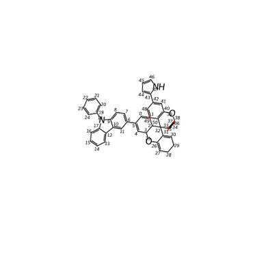 C1=CC2C(C=C1c1ccc3c(c1)c1ccccc1n3-c1ccccc1)OC1=CCCC=C1C21c2ccccc2Oc2cc(-c3ccc[nH]3)ccc21